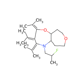 CC(C)=C1OC2CCOCCC2N(CC(C)F)C(=C(C)C)C1=C(C)C